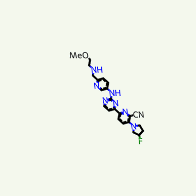 COCCNCc1ccc(Nc2nccc(-c3ccc(N4CCC(F)C4)c(C#N)n3)n2)cn1